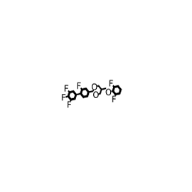 Fc1cc(C2OCC(COc3c(F)cccc3F)CO2)ccc1-c1cc(F)c(F)c(F)c1